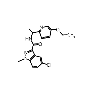 CC(NC(=O)c1nn(C)c2ccc(Cl)cc12)c1ccc(OCC(F)(F)F)cn1